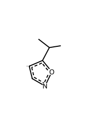 CC(C)c1[c]cno1